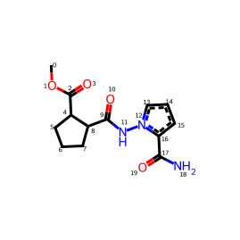 COC(=O)C1CCCC1C(=O)Nn1cccc1C(N)=O